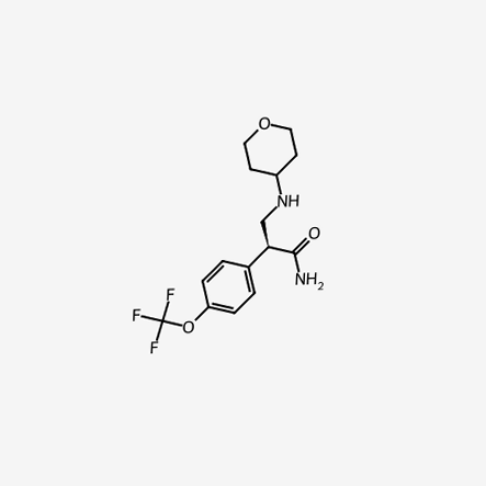 NC(=O)[C@H](CNC1CCOCC1)c1ccc(OC(F)(F)F)cc1